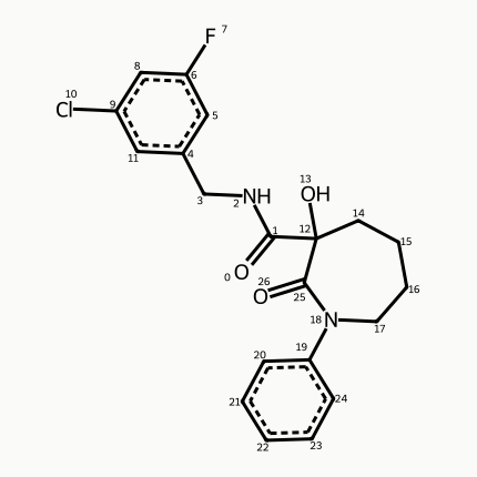 O=C(NCc1cc(F)cc(Cl)c1)C1(O)CCCCN(c2ccccc2)C1=O